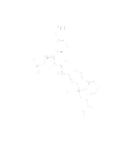 CCC(C)CCC(O)(c1ccc(F)c(NC(=O)c2cc(C(F)(F)F)nn2-c2cccc(CN)c2)c1)c1ccccn1